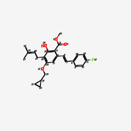 COC(=O)c1c(C=Cc2ccc(F)cc2)cc(OCC2CC2)c(CC=C(C)C)c1O